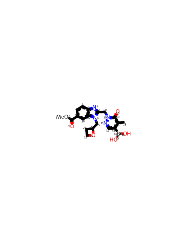 COC(=O)c1ccc2nc(Cn3ncc(B(O)O)c(C)c3=O)n(CC3CCO3)c2c1